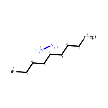 CCCCCCCCCCCCCCC(C)C.NN